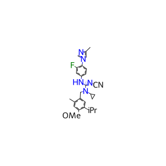 COc1cc(C)c(CN(/C(=N\C#N)Nc2ccc(-n3cnc(C)c3)c(F)c2)C2CC2)cc1C(C)C